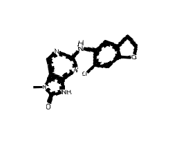 Cn1c(=O)[nH]c2nc(Nc3cc4c(cc3Cl)OCC4)ncc21